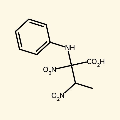 CC([N+](=O)[O-])C(Nc1ccccc1)(C(=O)O)[N+](=O)[O-]